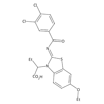 CCOc1ccc2c(c1)sc(=NC(=O)c1ccc(Cl)c(Cl)c1)n2C(CC)C(=O)O